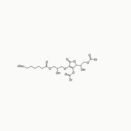 CCCCCCCCCCCCCCCC(=O)OCC(O)COC1=C(OC(=O)CC)C(C(O)COC(=O)CC)OC1=O